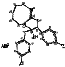 Br.OC1(Cc2ccc(Cl)cc2)C(c2ccc(Cl)cc2)SC2=NCCCCCN21